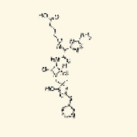 Nc1nc(C(=NOCCCC(=O)O)C(=O)NC2C(=O)N3CC(C=CSc4cccnc4)(C(=O)O)CS[C@H]23)ns1